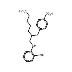 CCCCc1ccccc1NCC(CCCCC(=O)O)Cc1ccc(C(=O)O)cc1